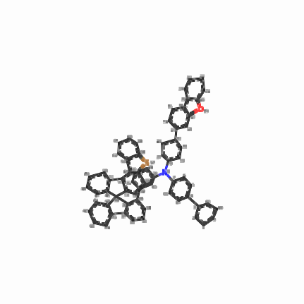 c1ccc(-c2ccc(N(c3ccc(-c4ccc5c(c4)oc4ccccc45)cc3)c3cccc(-c4cccc5c4C4(c6ccccc6-5)c5ccccc5-c5c4ccc4sc6ccccc6c54)c3)cc2)cc1